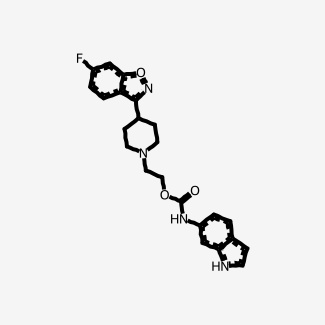 O=C(Nc1ccc2cc[nH]c2c1)OCCN1CCC(c2noc3cc(F)ccc23)CC1